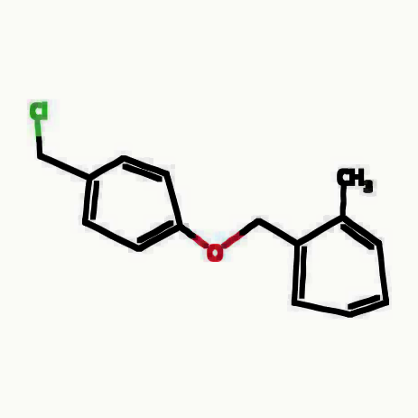 Cc1ccccc1COc1ccc(CCl)cc1